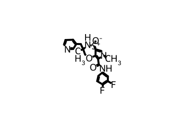 Cn1cc2c(c1C(=O)Nc1ccc(F)c(F)c1)OCC(C)(Cc1cccnc1)N[S+]2[O-]